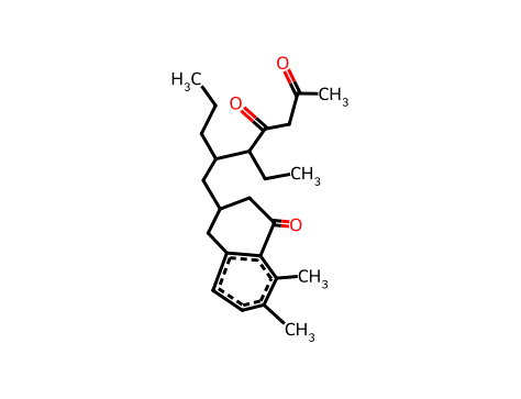 CCCC(CC1CC(=O)c2c(ccc(C)c2C)C1)C(CC)C(=O)CC(C)=O